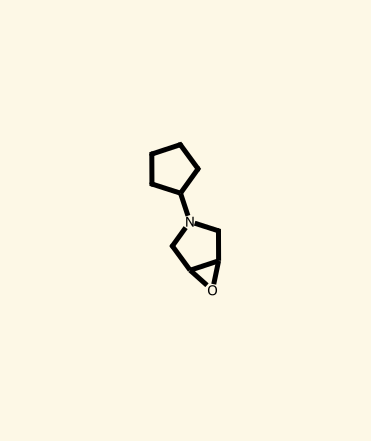 C1CCC(N2CC3OC3C2)C1